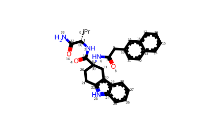 CC(C)[C@H](NC(=O)[C@]1(NC(=O)Cc2ccc3ccccc3c2)CCc2[nH]c3ccccc3c2C1)C(N)=O